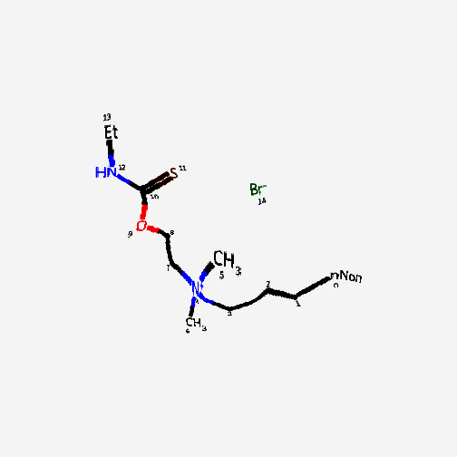 CCCCCCCCCCCC[N+](C)(C)CCOC(=S)NCC.[Br-]